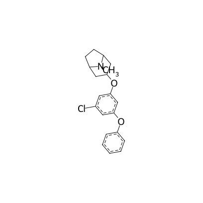 CN1C2CCC1CC(Oc1cc(Cl)cc(Oc3ccccc3)c1)C2